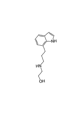 OCCNCCCc1cccc2cc[nH]c12